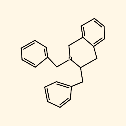 c1ccc(CC2Cc3ccccc3CN2Cc2ccccc2)cc1